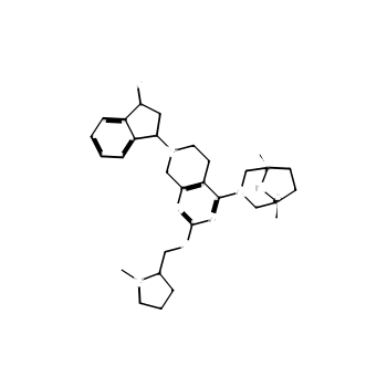 CN1CCCC1COc1nc2c(c(N3C[C@H]4CC[C@@H](C3)N4)n1)CCN(C1CC(O)c3ccccc31)C2